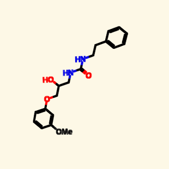 COc1cccc(OCC(O)CNC(=O)NCCc2ccccc2)c1